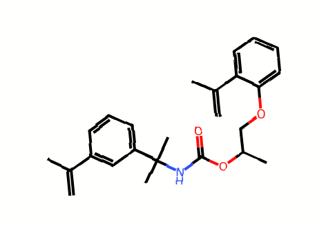 C=C(C)c1cccc(C(C)(C)NC(=O)OC(C)COc2ccccc2C(=C)C)c1